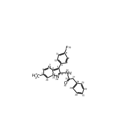 Cc1cnc2c(-c3ccc(F)cc3)c(NC(=O)Cc3ccccc3)nn2c1